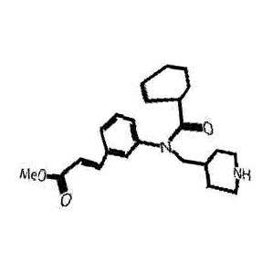 COC(=O)/C=C/c1cccc(N(CC2CCNCC2)C(=O)C2CCCCC2)c1